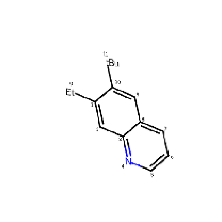 CCc1cc2ncccc2cc1C(C)(C)C